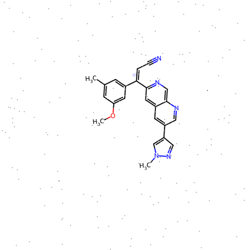 COc1cc(C)cc(/C(=C/C#N)c2cc3cc(-c4cnn(C)c4)cnc3cn2)c1